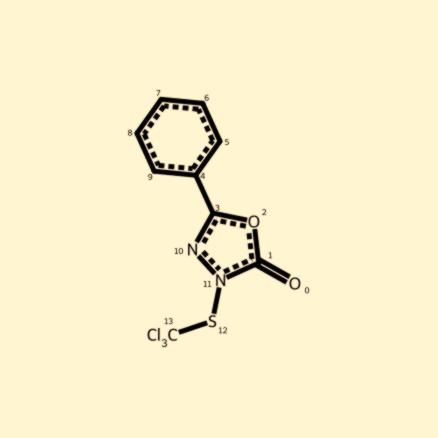 O=c1oc(-c2ccccc2)nn1SC(Cl)(Cl)Cl